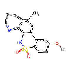 CCOc1ccc2c(c1)-c1cc(C)c3cccnc3c1NS2(=O)=O